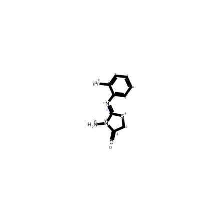 CC(C)c1ccccc1/N=C1\SCC(=O)N1N